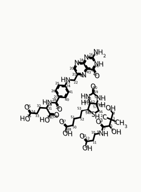 CC(C)(CO)C(O)C(=O)NCCC(=O)O.Nc1nc2ncc(CNc3ccc(C(=O)NC(CCC(=O)O)C(=O)O)cc3)nc2c(=O)[nH]1.O=C(O)CCCC[C@@H]1SC[C@@H]2NC(=O)N[C@@H]21